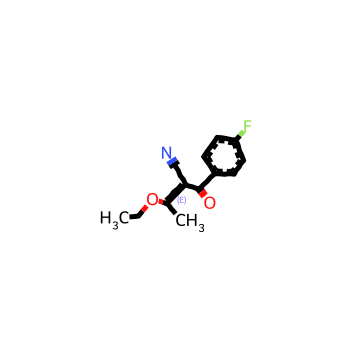 CCO/C(C)=C(\C#N)C(=O)c1ccc(F)cc1